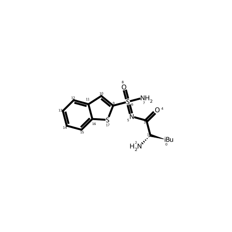 CC[C@H](C)[C@H](N)C(=O)N=S(N)(=O)c1cc2ccccc2s1